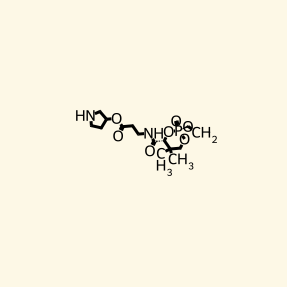 [CH2]O[P@@]1(=O)OCC(C)(C)[C@H](C(=O)NCCC(=O)OC2CCNC2)O1